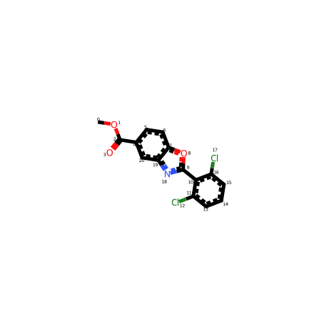 COC(=O)c1ccc2oc(-c3c(Cl)cccc3Cl)nc2c1